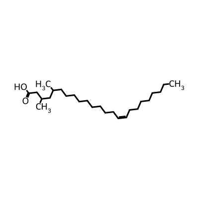 CCCCCCCC/C=C\CCCCCCCCCC(C)CC(C)CC(=O)O